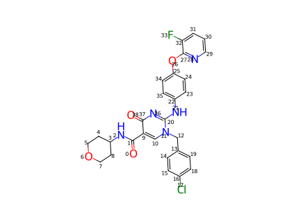 O=C(NC1CCOCC1)c1cn(Cc2ccc(Cl)cc2)c(Nc2ccc(Oc3ncccc3F)cc2)nc1=O